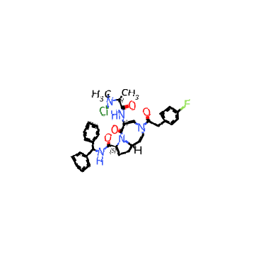 C[C@@H](C(=O)N[C@H]1CN(C(=O)Cc2ccc(F)cc2)CC[C@H]2CC[C@@H](C(=O)NC(c3ccccc3)c3ccccc3)N2C1=O)N(C)Cl